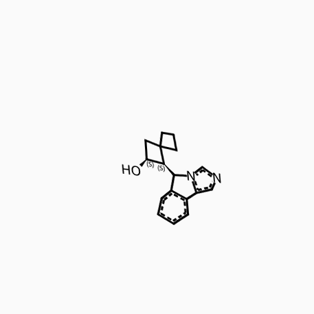 O[C@H]1CC2(CCC2)[C@H]1C1c2ccccc2-c2cncn21